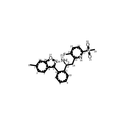 Cc1ccc2c(-c3ccccc3[C@@H](N)Cc3nc(S(C)(=O)=O)ccc3F)noc2c1